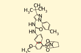 COc1ccc(S(=O)(=O)N2C3CCC2CC(Cc2ccc(NC(=O)Nc4cc(C(C)(C)C)nn4-c4ccc(C)cc4)cc2)C3)cc1